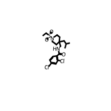 CCS(=O)(=O)N1CCC(CNC(=O)c2ccc(Cl)cc2Cl)(CC(C)C)CC1